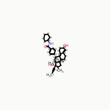 CC#C[C@]1(O)[C@H](C)C[C@H]2[C@@H]3CCC4=CC(O)CCC4=C3[C@@H](c3ccc(C(=O)NC4CCCCC4)cc3)C[C@@]21C